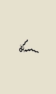 CCCCCCCCCCOC(=O)C1CCCCC1C(=O)OCCCCC